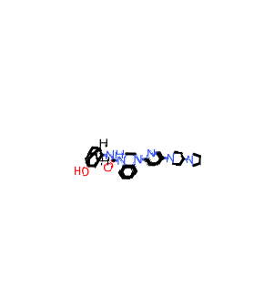 O=C(NC1[C@@H]2CC3C[C@H]1CC(O)(C3)C2)N1CCN(c2ccc(N3CCC(N4CCCC4)CC3)cn2)c2ccccc21